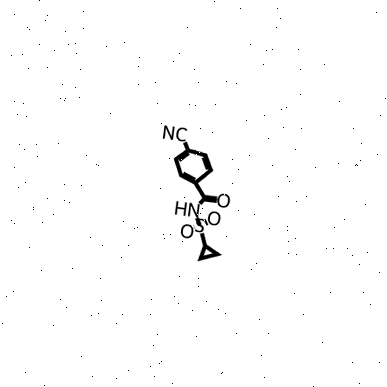 N#Cc1ccc(C(=O)NS(=O)(=O)C2CC2)cc1